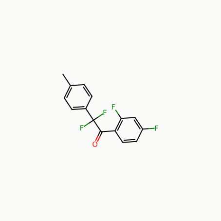 Cc1ccc(C(F)(F)C(=O)c2ccc(F)cc2F)cc1